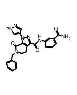 Cn1cc(-n2nc(C(=O)Nc3cccc(C(N)=O)c3)c3c2C(=O)N(Cc2ccccc2)CC3)cn1